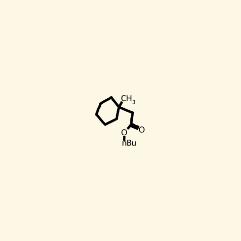 CCCCOC(=O)CC1(C)CCCCC1